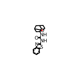 O=C(Nc1nc2ccccc2s1)NC12CC3CC(CC(C3)O1)C2